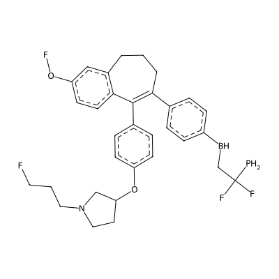 FCCCN1CCC(Oc2ccc(C3=C(c4ccc(BCC(F)(F)P)cc4)CCCc4cc(OF)ccc43)cc2)C1